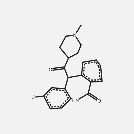 CN1CCC(C(=O)C2c3cc(Cl)ccc3NC(=O)c3ccccc32)CC1